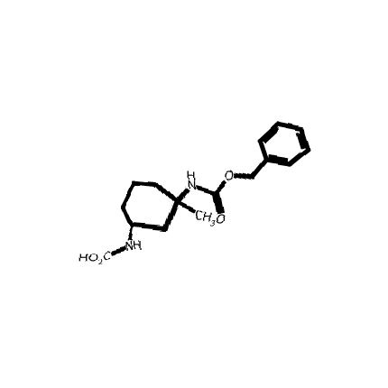 CC1(NC(=O)OCc2ccccc2)CCC[C@H](NC(=O)O)C1